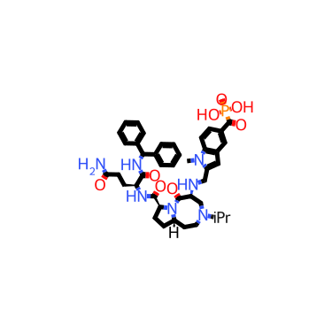 CC(C)N1CC[C@H]2CC[C@@H](C(=O)N[C@@H](CCC(N)=O)C(=O)NC(c3ccccc3)c3ccccc3)N2C(=O)[C@@H](NCc2cc3cc(C(=O)P(=O)(O)O)ccc3n2C)C1